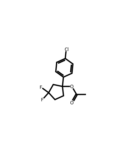 CC(=O)OC1(c2ccc(Cl)cc2)CCC(F)(F)C1